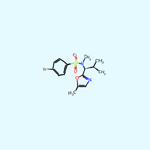 Cc1cnc([C@H](C(C)C)N(C)S(=O)(=O)c2ccc(Br)cc2)o1